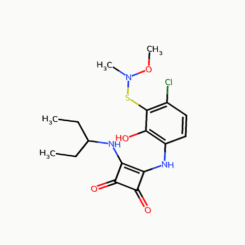 CCC(CC)Nc1c(Nc2ccc(Cl)c(SN(C)OC)c2O)c(=O)c1=O